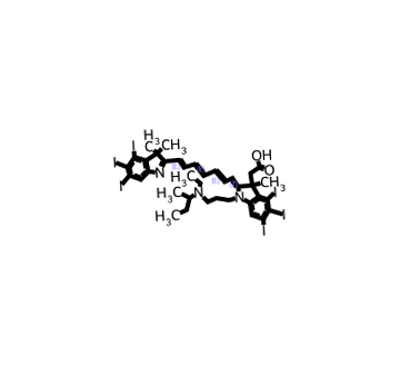 CCC(C)N(CC)CCCN1\C(=C/C=C/C=C/C=C/C2=Nc3cc(I)c(I)c(I)c3C2(C)C)C(C)(CC(=O)O)c2c1cc(I)c(I)c2I